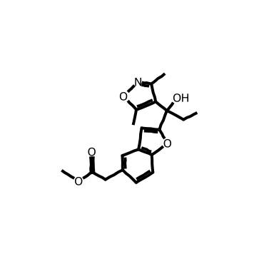 CCC(O)(c1cc2cc(CC(=O)OC)ccc2o1)c1c(C)noc1C